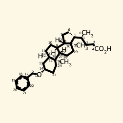 C[C@H](CCC(=O)O)[C@H]1CC[C@H]2[C@@H]3CC[C@@H]4C[C@H](OCc5ccccc5)CC[C@]4(C)[C@H]3CC[C@]12C